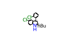 CCCC[C@@H]1C[C@H](c2ccccc2Cl)c2cc(Cl)ccc2N1